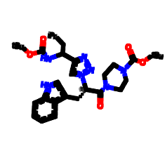 CC(C)CC(NC(=O)OC(C)(C)C)c1cn([C@@H](Cc2c[nH]c3ccccc23)C(=O)N2CCN(C(=O)OC(C)(C)C)CC2)nn1